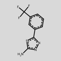 Nc1nnc(-c2cccc(C(F)(F)F)c2)s1